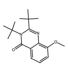 COc1cccc2c(=O)n(C(C)(C)C)c(C(C)(C)C)nc12